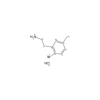 Cc1ccc(Br)c(CCN)c1.Cl